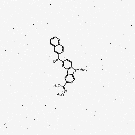 CCCCCCn1c2ccc(C(=O)c3ccc4ccccc4c3)cc2c2cc(/C(C)=N/OC(C)=O)ccc21